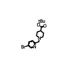 CC(C)(C)OC(=O)C1CCN(Cc2ccc(Br)cn2)CC1